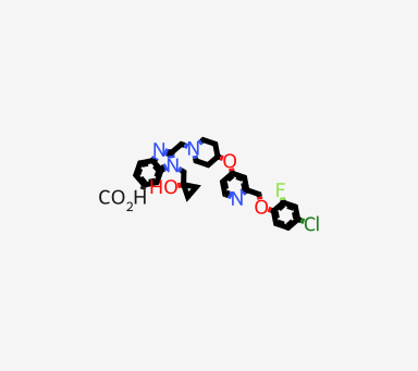 O=C(O)c1ccc2nc(CN3CCC(Oc4ccnc(COc5ccc(Cl)cc5F)c4)CC3)n(CC3(O)CC3)c2c1